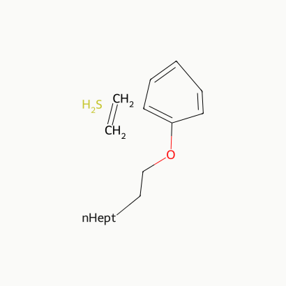 C=C.CCCCCCCCCOc1ccccc1.S